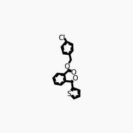 O=C(OCc1ccc(Cl)cc1)c1ccccc1C(=O)c1cccs1